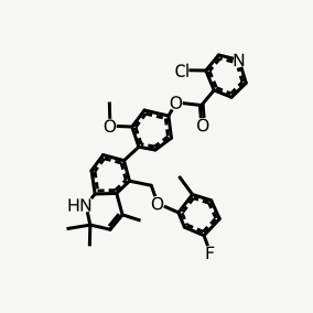 COc1cc(OC(=O)c2ccncc2Cl)ccc1-c1ccc2c(c1COc1cc(F)ccc1C)C(C)=CC(C)(C)N2